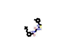 Cc1cccc(-c2csc(NC(=O)CNC(=O)C3=CC(CCC(C)(C)C)CC=C3)n2)c1